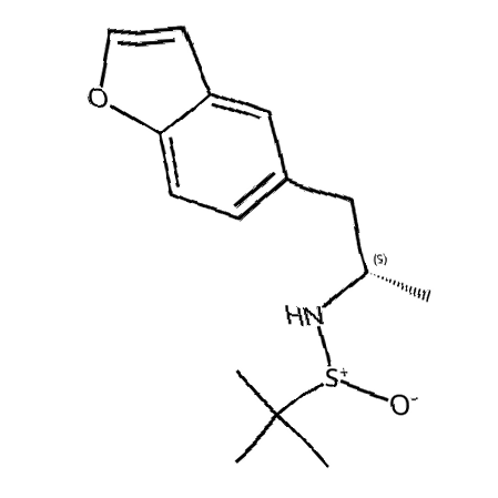 C[C@@H](Cc1ccc2occc2c1)N[S+]([O-])C(C)(C)C